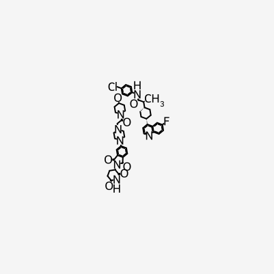 C[C@@H](C(=O)Nc1ccc(Cl)c(OC2CCN(C(=O)CN3CCN(c4ccc5c(c4)C(=O)N(C4CCC(=O)NC4=O)C5=O)CC3)CC2)c1)[C@H]1CC[C@@H](c2ccnc3ccc(F)cc32)CC1